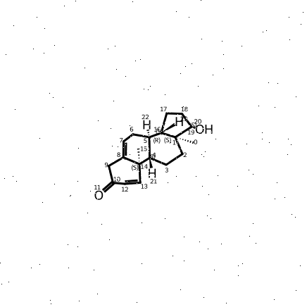 C[C@]12CC[C@H]3[C@@H](CC=C4CC(=O)C=C[C@@]43C)[C@@H]1CC[C@@H]2O